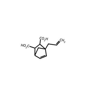 C=CCC12C=CC(C1)C(C(=O)O)C2C(=O)O